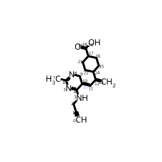 C#CCNC1=NC(C)=NC/C1=C\C(=C)C1CCC(C(=O)O)CC1